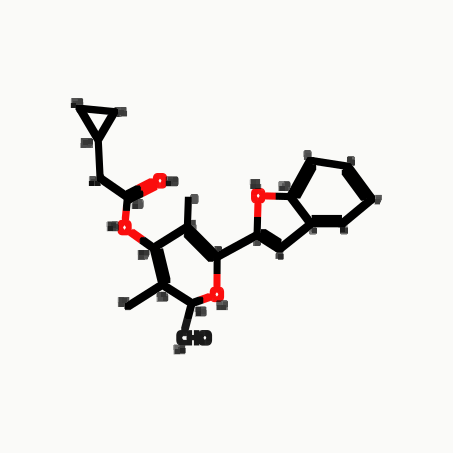 CC1=C(c2cc3ccccc3o2)OC(C=O)C(C)=C1OC(=O)CC1CC1